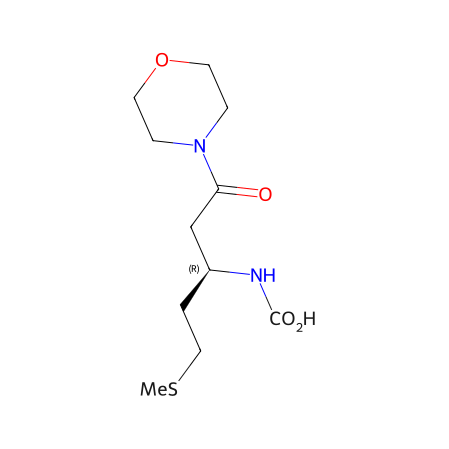 CSCC[C@@H](CC(=O)N1CCOCC1)NC(=O)O